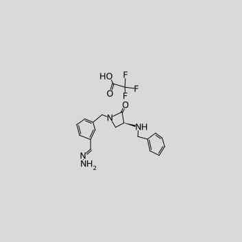 NN=Cc1cccc(CN2C[C@H](NCc3ccccc3)C2=O)c1.O=C(O)C(F)(F)F